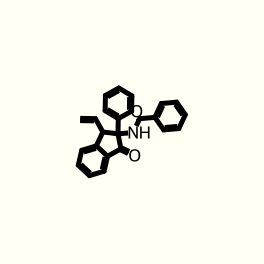 C=CC1c2ccccc2C(=O)C1(NC(=O)c1ccccc1)c1ccccc1